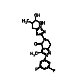 Cc1c2c(nn1-c1cc(F)cc(F)c1)CCN(c1cc(CC(C)C(O)O)[nH]n1)C2=O